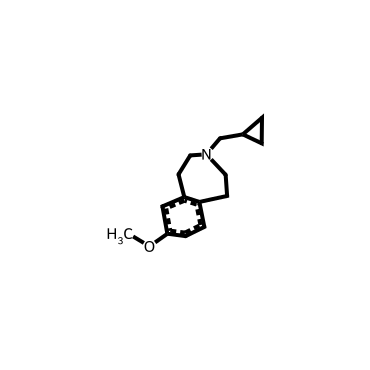 COc1ccc2c(c1)CCN(CC1CC1)CC2